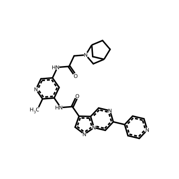 Cc1ncc(NC(=O)CN2CC3CCC2C3)cc1NC(=O)c1cnn2cc(-c3ccncc3)ncc12